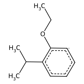 CCOc1[c]cccc1C(C)C